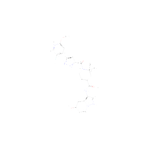 COc1cc(-c2cc(C(=O)N3CCC(C(=O)Nc4cnn5c4CC(O)CC5)CC34CC4)n[nH]2)c(F)cn1